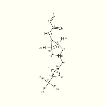 C=CC(=O)NC1[C@H]2CN(CC34CC(C(F)(F)F)(C3)C4)C[C@@H]12